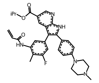 C=CC(=O)Nc1cc(-c2c(-c3ccc(N4CCN(C)CC4)cc3)[nH]c3ncc(C(=O)OC(C)C)cc23)cc(F)c1C